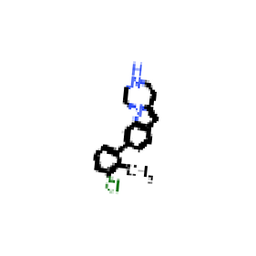 Cc1c(Cl)cccc1-c1ccc2cc3n(c2c1)CCNCC3